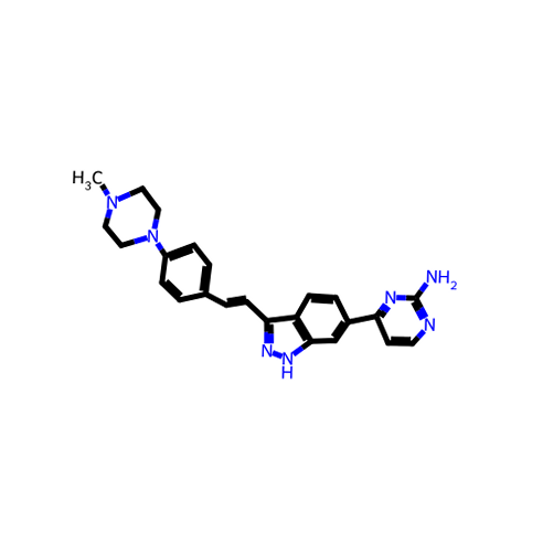 CN1CCN(c2ccc(C=Cc3n[nH]c4cc(-c5ccnc(N)n5)ccc34)cc2)CC1